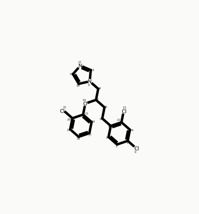 Clc1ccc(CCC(Cn2ccnc2)Oc2ccccc2Cl)c(Cl)c1